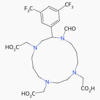 O=CN1CCCN(CC(=O)O)CCN(CC(=O)O)CCCN(CC(=O)O)CC1c1cc(C(F)(F)F)cc(C(F)(F)F)c1